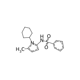 Cc1ccc(NS(=O)(=O)c2ccccc2)n1C1CCCCC1